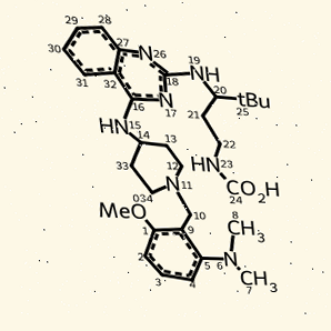 COc1cccc(N(C)C)c1CN1CCC(Nc2nc(NC(CCNC(=O)O)C(C)(C)C)nc3ccccc23)CC1